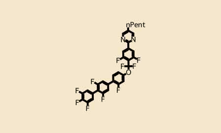 CCCCCc1cnc(-c2cc(F)c(C(F)(F)Oc3ccc(-c4cc(F)c(-c5cc(F)c(F)c(F)c5)c(F)c4)c(F)c3)c(F)c2)nc1